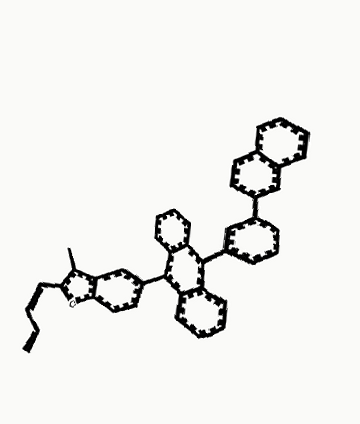 C=C/C=C\c1oc2ccc(-c3c4ccccc4c(-c4cccc(-c5ccc6ccccc6c5)c4)c4ccccc34)cc2c1C